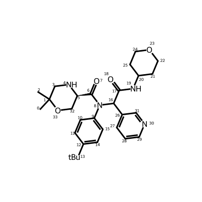 CC1(C)CN[C@@H](C(=O)N(c2ccc(C(C)(C)C)cc2)C(C(=O)NC2CCOCC2)c2cccnc2)CO1